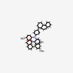 CC(C)(C)c1ccc(N(c2ccc(-c3cccc4c3ccc3ccccc34)cc2)c2ccccc2-c2cccc3cccc(-c4cc(C(C)(C)C)cc(C(C)(C)C)c4)c23)cc1